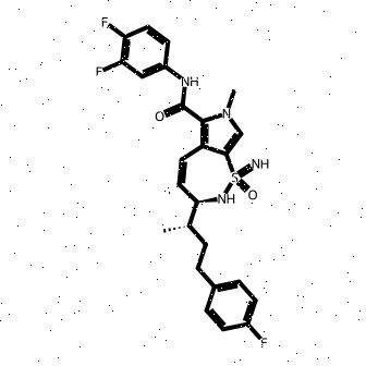 C[C@@H](CCc1ccc(F)cc1)[C@H]1C=Cc2c(cn(C)c2C(=O)Nc2ccc(F)c(F)c2)S(=N)(=O)N1